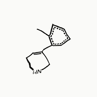 Cc1ccccc1C1=CCCNC1